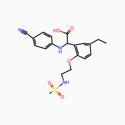 CCc1ccc(OCCNS(C)(=O)=O)c(C(Nc2ccc(C#N)cc2)C(=O)O)c1